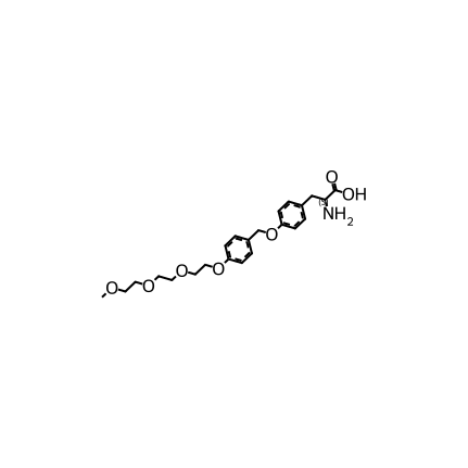 COCCOCCOCCOc1ccc(COc2ccc(C[C@H](N)C(=O)O)cc2)cc1